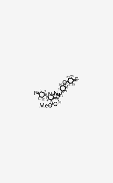 COC(=O)c1cc(-c2ccc(F)cc2)nc2nn(Cc3ccc(Oc4ccc(F)cc4)cc3)c(C)c12